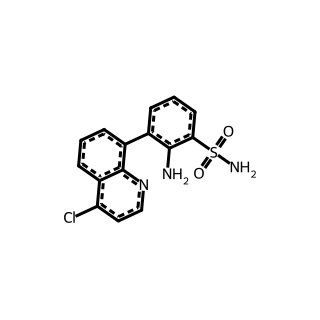 Nc1c(-c2cccc3c(Cl)ccnc23)cccc1S(N)(=O)=O